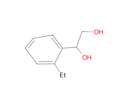 CCc1ccccc1C(O)CO